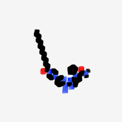 CCCCCCCCCCCCCC(=O)N1CCN(c2ccc(Nc3ncc4cc(C(=O)N(C)C)n(C5CCCC5)c4n3)nc2)CC1